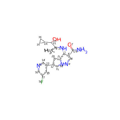 C[C@@H](Nc1c(C(N)=O)cnn2cc(-c3cncc(F)c3)cc12)C(O)C1CC1